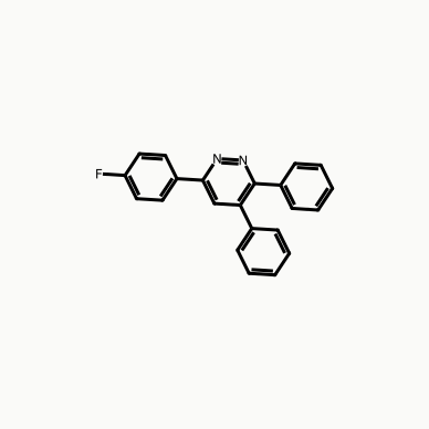 Fc1ccc(-c2cc(-c3ccccc3)c(-c3ccccc3)nn2)cc1